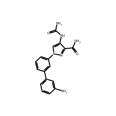 NC(=O)Nc1cn(-c2cccc(-c3cccc(N)c3)c2)nc1C(N)=O